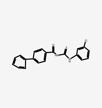 O=C(NC(=S)Nc1cccc(Cl)c1)c1ccc(-c2ccccc2)cc1